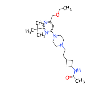 CCOCc1cc(N2CCN(CCC3CC(NC(C)=O)C3)CC2)nc(C(C)(C)C)n1